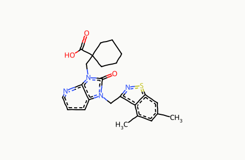 Cc1cc(C)c2c(Cn3c(=O)n(CC4(C(=O)O)CCCCC4)c4ncccc43)nsc2c1